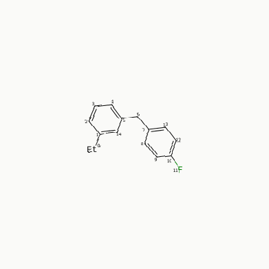 [CH2-][CH+]c1cccc(Cc2ccc(F)cc2)c1